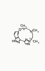 C[C@@H]1CCN(C)CC[C@H](C)n2ncc(n2)-c2n[nH]c3ccc(cc23)O1